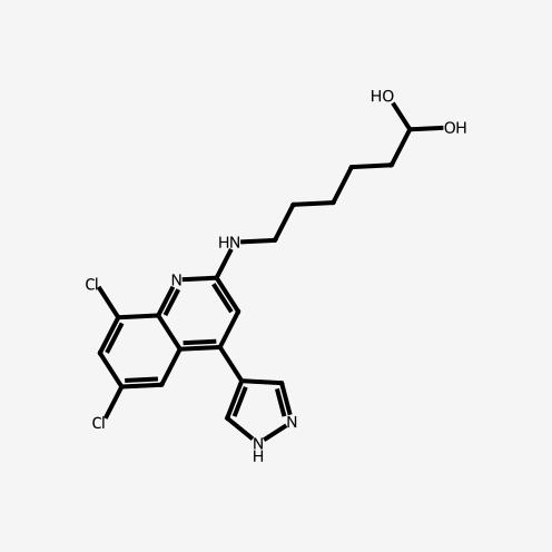 OC(O)CCCCCNc1cc(-c2cn[nH]c2)c2cc(Cl)cc(Cl)c2n1